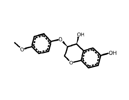 COc1ccc(O[C@@H]2COc3ccc(O)cc3[C@@H]2O)cc1